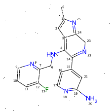 CC1=CC2=C(NCc3ncccc3F)C(c3ccnc(N)c3)=NCC2=N1